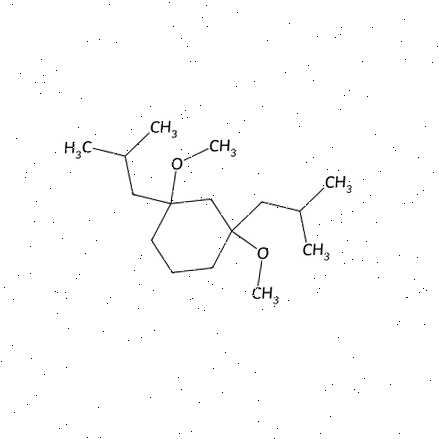 COC1(CC(C)C)CCCC(CC(C)C)(OC)C1